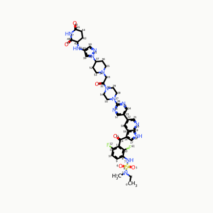 CCN(C)S(=O)(=O)Nc1ccc(F)c(C(=O)c2c[nH]c3ncc(-c4cnc(N5CCN(C(=O)CN6CCC(n7cc(NC8CCC(=O)NC8=O)cn7)CC6)CC5)nc4)cc23)c1F